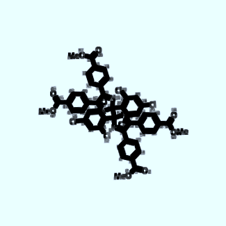 COC(=O)c1ccc(C2=NC(c3c(Cl)cc(Cl)cc3Cl)(C3(c4c(Cl)cc(Cl)cc4Cl)N=C(c4ccc(C(=O)OC)cc4)C(c4ccc(C(=O)OC)cc4)=N3)N=C2c2ccc(C(=O)OC)cc2)cc1